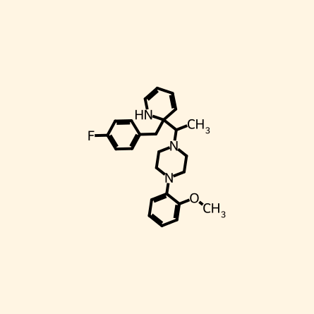 COc1ccccc1N1CCN(C(C)C2(Cc3ccc(F)cc3)C=CC=CN2)CC1